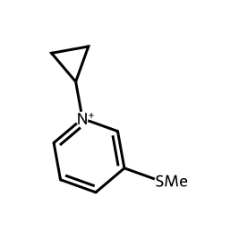 CSc1ccc[n+](C2CC2)c1